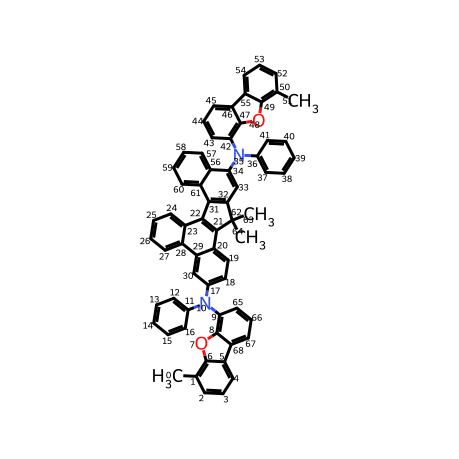 Cc1cccc2c1oc1c(N(c3ccccc3)c3ccc4c5c(c6ccccc6c4c3)-c3c(cc(N(c4ccccc4)c4cccc6c4oc4c(C)cccc46)c4ccccc34)C5(C)C)cccc12